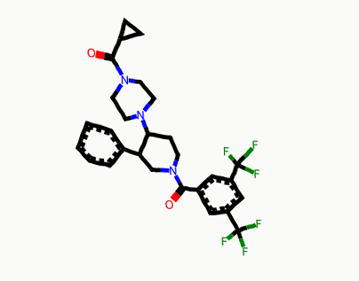 O=C(c1cc(C(F)(F)F)cc(C(F)(F)F)c1)N1CCC(N2CCN(C(=O)C3CC3)CC2)C(c2ccccc2)C1